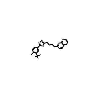 Cc1ccc(-c2nnc(CCCCc3ccc4cccnc4n3)o2)cc1C(F)(F)F